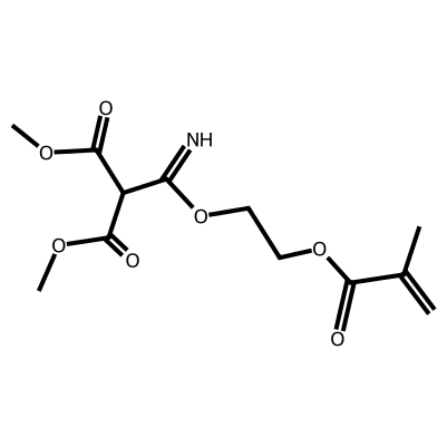 C=C(C)C(=O)OCCOC(=N)C(C(=O)OC)C(=O)OC